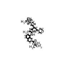 Cc1nc2c(-c3cn(S(=O)(=O)N(C)C)cn3)cc(N3CCOCC3)nn2c1Nc1cccc2c1CN(C(=O)OC(C)(C)C)CC2